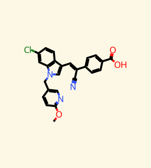 COc1ccc(Cn2cc(C=C(C#N)c3ccc(C(=O)O)cc3)c3ccc(Cl)cc32)cn1